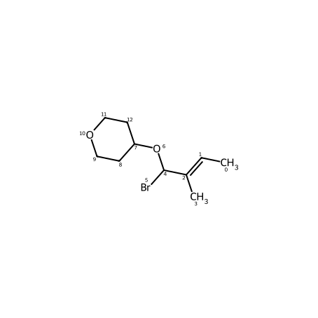 CC=C(C)C(Br)OC1CCOCC1